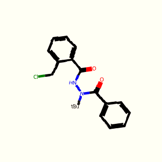 CC(C)(C)N(NC(=O)c1ccccc1CCl)C(=O)c1ccccc1